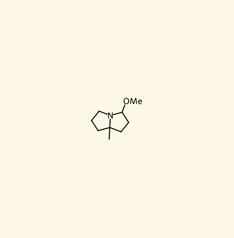 COC1CCC2(C)CCCN12